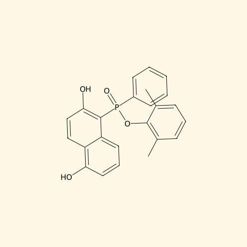 Cc1cccc(C)c1OP(=O)(c1ccccc1)c1c(O)ccc2c(O)cccc12